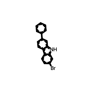 Brc1ccc2c(c1)[nH]c1cc(-c3ccccc3)ccc12